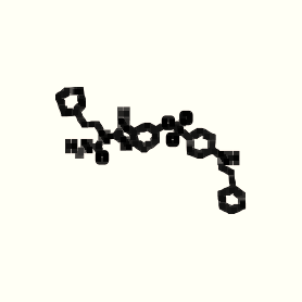 NC(=O)N(CCc1ccccc1)c1nc2ccc(OS(=O)(=O)c3ccc(NCCc4ccccc4)cc3)cc2[nH]1